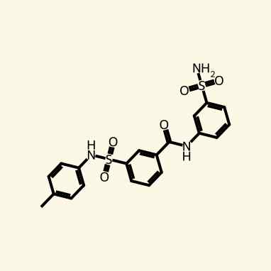 Cc1ccc(NS(=O)(=O)c2cccc(C(=O)Nc3cccc(S(N)(=O)=O)c3)c2)cc1